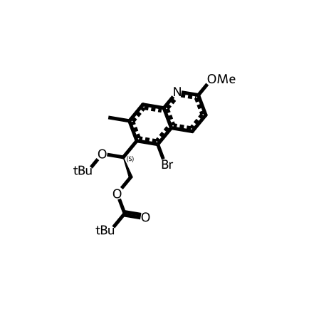 COc1ccc2c(Br)c([C@@H](COC(=O)C(C)(C)C)OC(C)(C)C)c(C)cc2n1